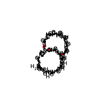 N[C@H]1CSCC(=O)N2CCC(CC2)N2C3CCN(CC3)C(=O)CSC[C@@H](C(=O)O)NC(=O)CNC(=O)CNC(=O)CNC(=O)CNC(=O)CNC(=O)[C@H](CSCC(=O)N3CCC2CC3)NC(=O)CNC(=O)CNC(=O)CNC(=O)CNC(=O)CNC1=O